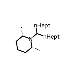 CCCCCCCC(CCCCCCC)N1[C@H](C)CCC[C@@H]1C